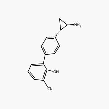 N#Cc1cccc(-c2ccc([C@@H]3C[C@H]3N)cc2)c1O